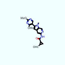 COc1ncc(-c2cc3cc(NC(=O)C4CC4C=O)ncc3n2C)c(OC)n1